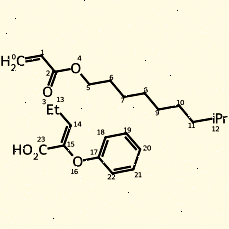 C=CC(=O)OCCCCCCCC(C)C.CCC=C(Oc1ccccc1)C(=O)O